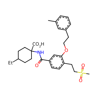 CCC1CCC(NC(=O)c2ccc(CCS(C)(=O)=O)c(OCCc3cccc(C)c3)c2)(C(=O)O)CC1